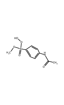 CO[As](=O)(OO)c1ccc(NC(C)=O)cc1